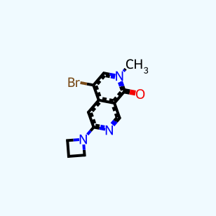 Cn1cc(Br)c2cc(N3CCC3)ncc2c1=O